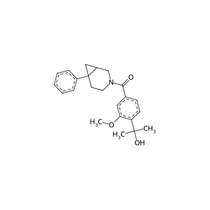 COc1cc(C(=O)N2CCC3(c4ccccc4)CC3C2)ccc1C(C)(C)O